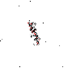 CCCOc1ccc(-c2c3ccccc3c(-c3ccc4c(c3)C(CCC)(CCC)c3cc(-c5c6ccccc6c(-c6c7ccccc7c(-c7ccc8c(c7)C(CCC)(CCC)c7ccccc7-8)c7ccccc67)c6ccccc56)ccc3-4)c3ccccc23)cc1